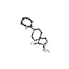 C[C@@H]1OCC2(CCN(c3ccccn3)CC2)[C@@H]1N